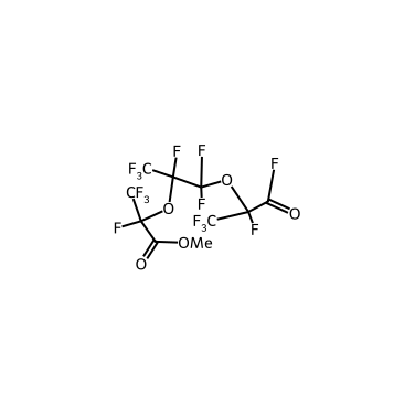 COC(=O)C(F)(OC(F)(C(F)(F)F)C(F)(F)OC(F)(C(=O)F)C(F)(F)F)C(F)(F)F